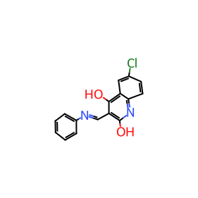 Oc1nc2ccc(Cl)cc2c(O)c1C=Nc1ccccc1